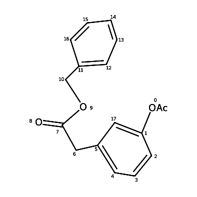 CC(=O)Oc1cccc(CC(=O)OCc2ccccc2)c1